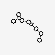 c1ccc(-c2cccc(-c3ccc(-c4nc5ccc(-c6ccc7c(c6)c6ccccc6n7-c6ccccc6)cc5o4)cc3)c2)cc1